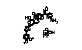 CON=C(C(=O)N[C@@H]1C(=O)N2C(C(=O)O)=C(CSc3nc(-c4ccc(OC)c(OC)c4)cs3)CS[C@@H]12)c1csc(N)n1.O=C(O)C(F)(F)F